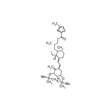 C=C1C(=CC=C2CCC[C@]3(C)[C@@H]([C@H](C)CCC(=O)c4nc(C)cs4)CC[C@@H]23)CC(O[Si](C)(C)C(C)(C)C)CC1O[Si](C)(C)C(C)(C)C